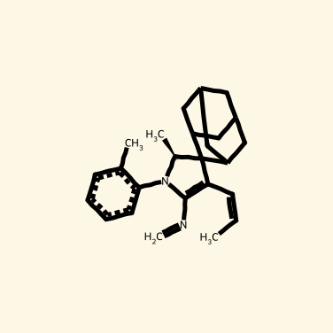 C=NC1=C(/C=C\C)C2(C3CC4CC(C3)CC2C4)[C@H](C)N1c1ccccc1C